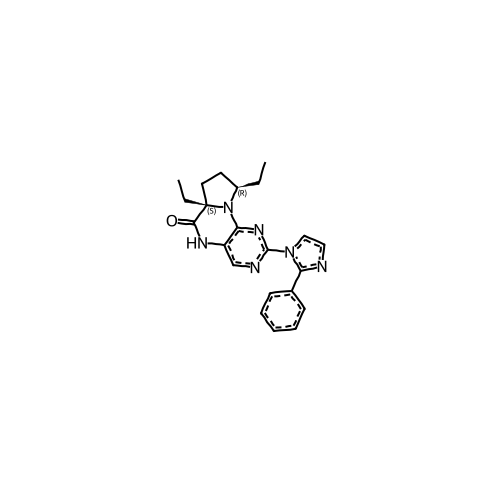 CC[C@@H]1CC[C@@]2(CC)C(=O)Nc3cnc(-n4ccnc4-c4ccccc4)nc3N12